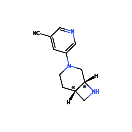 N#Cc1cncc(N2CC[C@H]3CN[C@H]3C2)c1